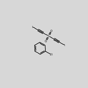 CCc1ccccc1.O=S(=O)(C#CI)C#CI